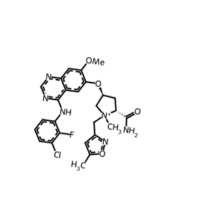 COc1cc2ncnc(Nc3cccc(Cl)c3F)c2cc1O[C@H]1C[C@H](C(N)=O)[N+](C)(Cc2cc(C)on2)C1